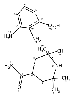 CC1(C)CC(C(N)=O)CC(C)(C)N1.Nc1cccc(C(=O)O)c1N